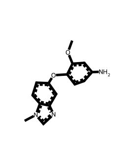 COc1cc(N)ccc1Oc1ccc2c(c1)ncn2C